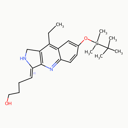 CCc1c2c(nc3ccc(O[Si](C)(C)C(C)(C)C)cc13)/C(=C/CCCO)NC2